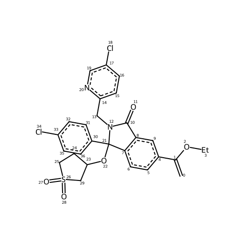 C=C(OCC)c1ccc2c(c1)C(=O)N(Cc1ccc(Cl)cn1)C2(OC1CCS(=O)(=O)C1)c1ccc(Cl)cc1